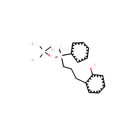 C[Si](C)(C)O[Si](C)(CCCc1ccccc1O)c1ccccc1